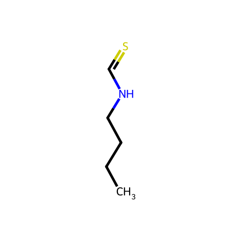 CCCCNC=S